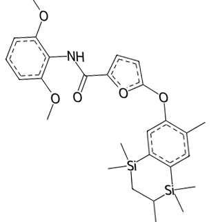 COc1cccc(OC)c1NC(=O)c1ccc(Oc2cc3c(cc2C)[Si](C)(C)C(C)C[Si]3(C)C)o1